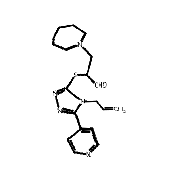 C=CCn1c(SC(C=O)CN2CCCCC2)nnc1-c1ccncc1